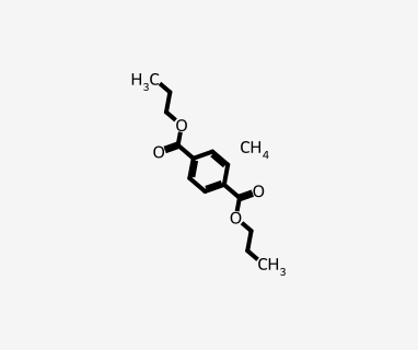 C.CCCOC(=O)c1ccc(C(=O)OCCC)cc1